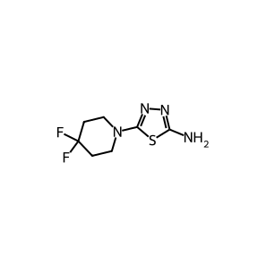 Nc1nnc(N2CCC(F)(F)CC2)s1